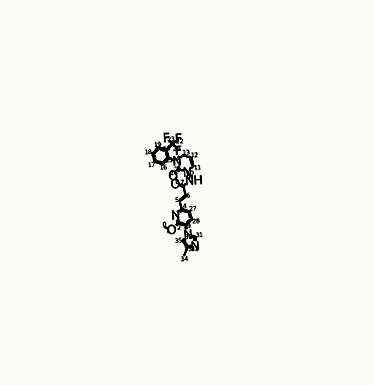 COc1nc(C=CC(=O)NN2C=CCN(c3ccccc3C(F)(F)F)C2=O)ccc1-n1cnc(C)c1